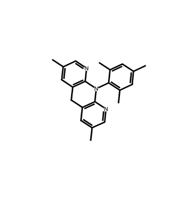 Cc1cc(C)c(N2c3ncc(C)cc3Cc3cc(C)cnc32)c(C)c1